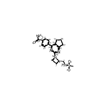 CS(=O)(=O)NC[C@H]1CCN1c1nc2c(c(-c3ccc(C(N)=O)cc3)n1)CCC2